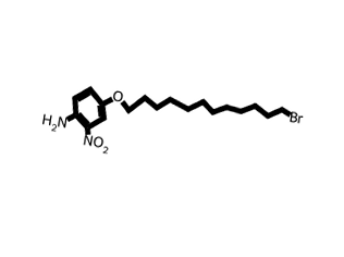 Nc1ccc(OCCCCCCCCCCCCBr)cc1[N+](=O)[O-]